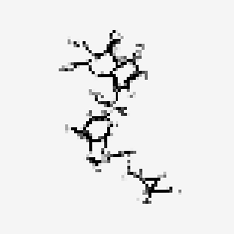 O=c1[nH]c2c(S(=O)(=O)c3cc(F)c4ccn(CCC5CC5(F)F)c4c3)ccc(Cl)c2c(=O)n1O